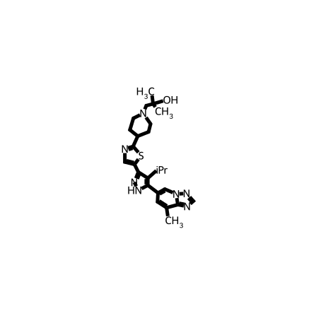 Cc1cc(-c2[nH]nc(-c3cnc(C4CCN(CC(C)(C)O)CC4)s3)c2C(C)C)cn2ncnc12